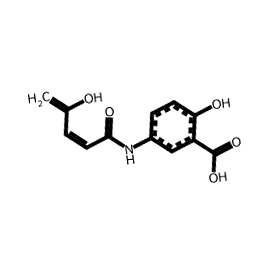 C=C(O)/C=C\C(=O)Nc1ccc(O)c(C(=O)O)c1